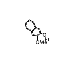 CCOc1cc2ccccc2cc1OC